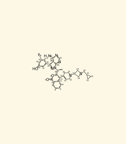 C[C@@H](c1oc(=O)c2ccccc2c1C1=CCN(C2CN(CC3CC3)C2)CC1)n1nc(-c2cc(O)cc(F)c2)c2c(N)ncnc21